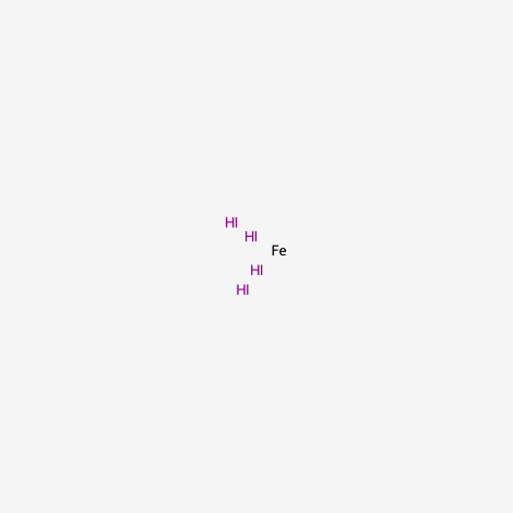 I.I.I.I.[Fe]